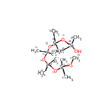 CO[Si](C)(C)O[Si](C)(C)O[Si](C)(C)O[Si](C)(C)O[Si](C)(C)O